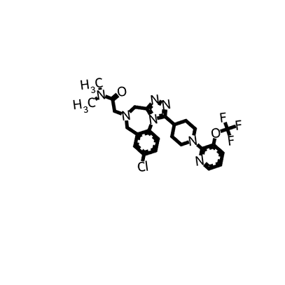 CN(C)C(=O)CN1Cc2cc(Cl)ccc2-n2c(nnc2C2CCN(c3ncccc3OC(F)(F)F)CC2)C1